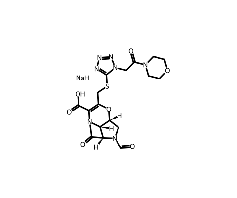 O=CN1C[C@H]2OC(CSc3nnnn3CC(=O)N3CCOCC3)=C(C(=O)O)N3C(=O)[C@@H]1[C@@H]23.[NaH]